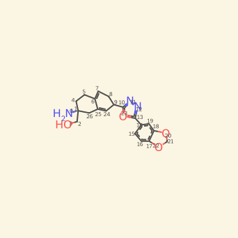 N[C@@]1(CO)CCC2=CCC(c3nnc(-c4ccc5c(c4)OCO5)o3)C=C2C1